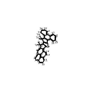 CC1(C)c2cc3ccc4cccc5ccc(c2-c2sc6c(c21)C(C)(C)c1c-6c2ccccc2c2ccccc12)c3c45